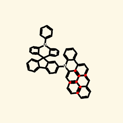 c1ccc(-c2cccc(-c3ccccc3N(c3ccc4c(c3)C3(c5ccccc5-4)c4ccccc4N(c4ccccc4)c4ccccc43)c3ccc4c(ccc5ccccc54)c3)c2)cc1